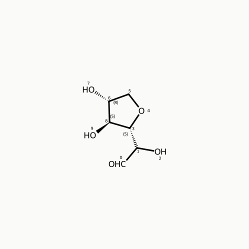 O=CC(O)[C@H]1OC[C@@H](O)[C@@H]1O